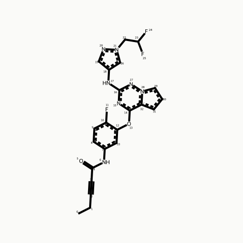 CCC#CC(=O)Nc1ccc(F)c(Oc2nc(Nc3cnn(CC(F)F)c3)nn3cccc23)c1